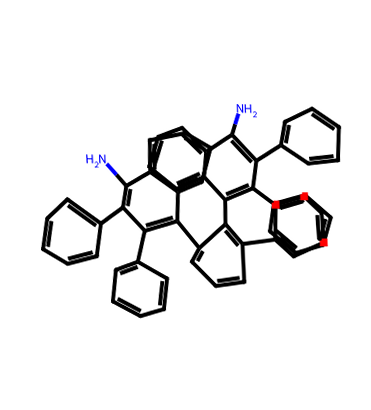 Nc1c(-c2ccccc2)c(-c2ccccc2)c(-c2cccc(-c3ccccc3)c2-c2c(-c3ccccc3)c(-c3ccccc3)c(N)c3ccccc23)c2ccccc12